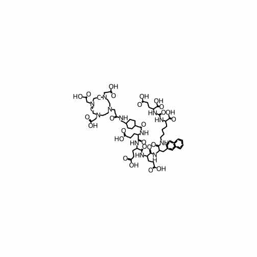 O=C(O)CCC(NC(=O)NC(CCCCNC(=O)C(Cc1ccc2ccccc2c1)NC(=O)C(CCC(=O)O)NC(=O)C(CCC(=O)O)NC(=O)C(CCC(=O)O)NC(=O)C1CCC(CNC(=O)CN2CCN(CC(=O)O)CCN(CC(=O)O)CCN(CC(=O)O)CC2)CC1)C(=O)O)C(=O)O